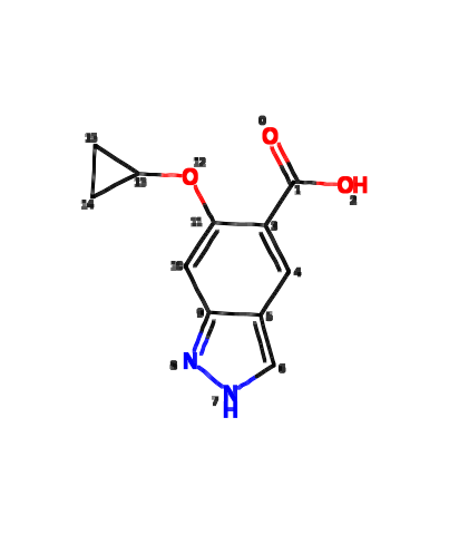 O=C(O)c1cc2c[nH]nc2cc1OC1CC1